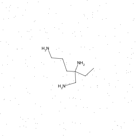 CCC(N)(CN)CCCN